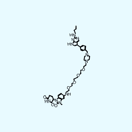 CCCCNc1ncc2c(-c3ccc(CN4CCN(CCOCCOCCOCCOCCNc5ccc6c(c5)n(C)c(=O)n6[C@H]5CCC(=O)NC5=O)CC4)cc3)c[nH]c2n1